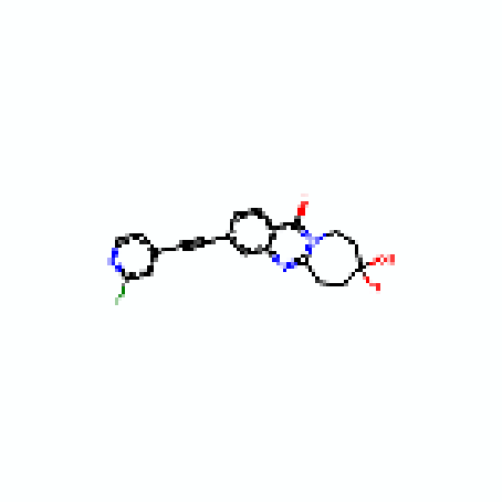 O=c1c2ccc(C#Cc3ccnc(F)c3)cc2nc2n1CCC(O)(O)CC2